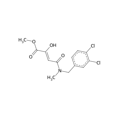 COC(=O)C(O)=CC(=O)N(C)Cc1ccc(Cl)c(Cl)c1